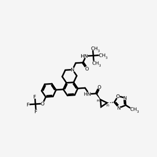 Cc1noc([C@@H]2C[C@H]2C(=O)NCc2ccc(-c3cccc(OC(F)(F)F)c3)c3c2CN(CC(=O)NC(C)(C)C)CC3)n1